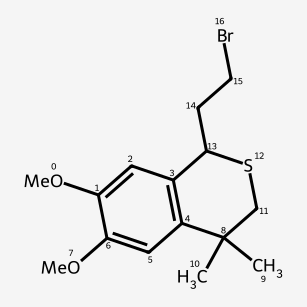 COc1cc2c(cc1OC)C(C)(C)CSC2CCBr